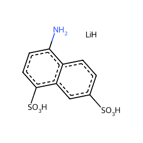 Nc1ccc(S(=O)(=O)O)c2cc(S(=O)(=O)O)ccc12.[LiH]